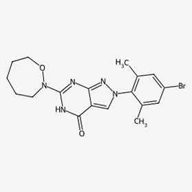 Cc1cc(Br)cc(C)c1-n1cc2c(=O)[nH]c(N3CCCCCO3)nc2n1